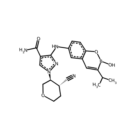 CC(C)C1=Cc2cc(Nc3nn([C@@H]4COCC[C@H]4C#N)cc3C(N)=O)ccc2OB1O